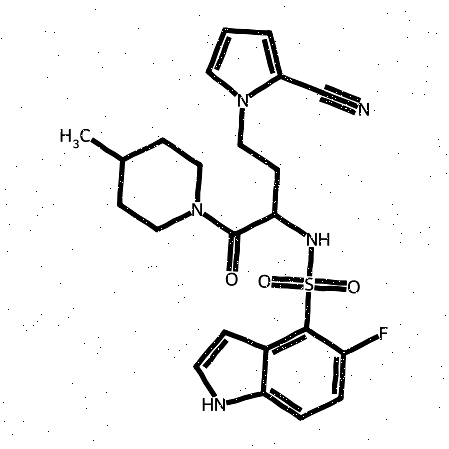 CC1CCN(C(=O)C(CCn2cccc2C#N)NS(=O)(=O)c2c(F)ccc3[nH]ccc23)CC1